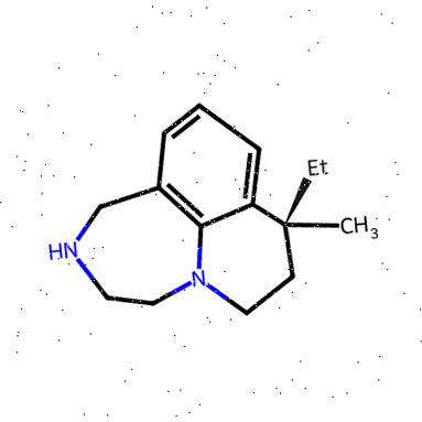 CC[C@@]1(C)CCN2CCNCc3cccc1c32